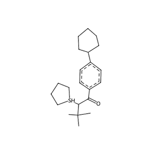 CC(C)(C)C(C(=O)c1ccc(C2CCCCC2)cc1)[SH]1CCCC1